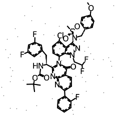 COc1ccc(CN(c2nn(CC(F)F)c3c(-n4c([C@H](Cc5cc(F)cc(F)c5)NC(=O)OC(C)(C)C)nc5nc(-c6ccccc6F)ccc5c4=O)ccc(Cl)c23)S(C)(=O)=O)cc1